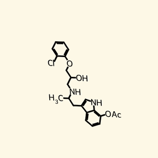 CC(=O)Oc1cccc2c(CC(C)NCC(O)COc3ccccc3Cl)c[nH]c12